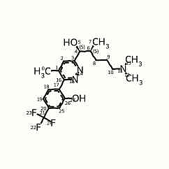 Cc1cc([C@@H](O)[C@@H](C)CCCN(C)C)nnc1-c1ccc(C(F)(F)F)cc1O